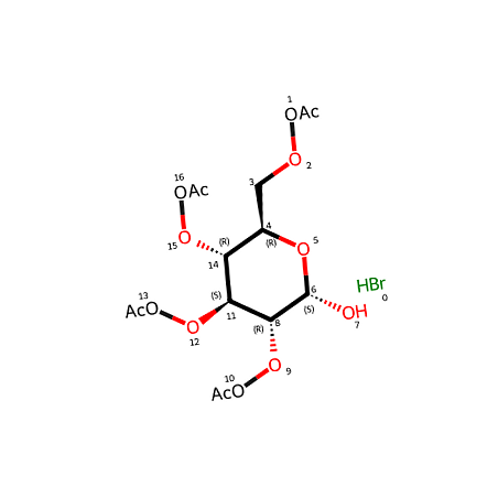 Br.CC(=O)OOC[C@H]1O[C@H](O)[C@H](OOC(C)=O)[C@@H](OOC(C)=O)[C@@H]1OOC(C)=O